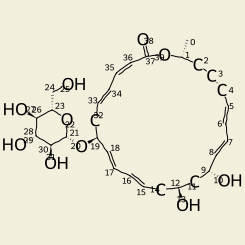 C[C@@H]1CCC/C=C/C=C/[C@H](O)C[C@@H](O)C/C=C/C=C/[C@@H](O[C@H]2O[C@@H](CO)[C@H](O)[C@@H](O)[C@@H]2O)C/C=C/C=C\C(=O)O1